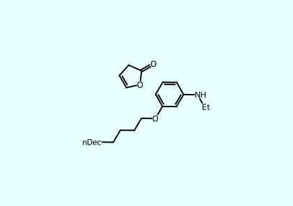 CCCCCCCCCCCCCCOc1cccc(NCC)c1.O=C1CC=CO1